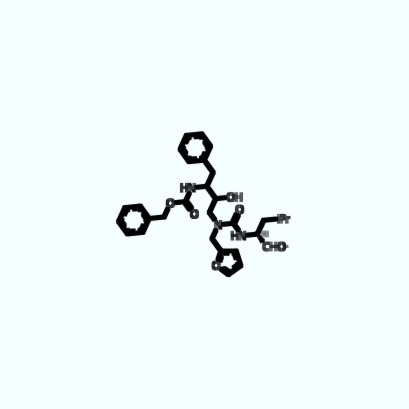 CC(C)C[C@@H]([C]=O)NC(=O)N(Cc1ccco1)CC(O)C(Cc1ccccc1)NC(=O)OCc1ccccc1